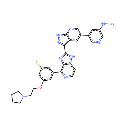 CC(C)Nc1cncc(-c2cnc3[nH]nc(-c4nc5c(-c6cc(F)cc(OCCN7CCCC7)c6)nccc5[nH]4)c3c2)c1